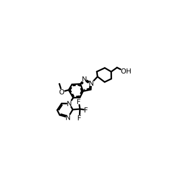 COc1cc2nn(C3CCC(CO)CC3)cc2cc1N1C=CC=NC1C(F)(F)F